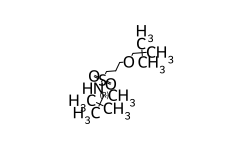 C[C@@H](NS(=O)(=O)CCCOCC(C)(C)C)C(C)(C)C